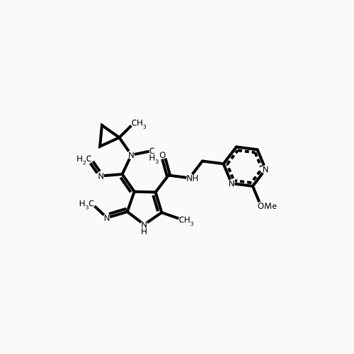 C=N/C(=C1/C(C(=O)NCc2ccnc(OC)n2)=C(C)N/C1=N/C)N(C)C1(C)CC1